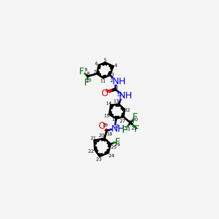 O=C(Nc1cccc(C(F)F)c1)Nc1ccc(NC(=O)c2ccccc2F)c(C(F)(F)F)c1